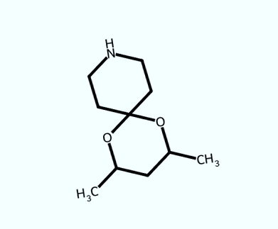 CC1CC(C)OC2(CCNCC2)O1